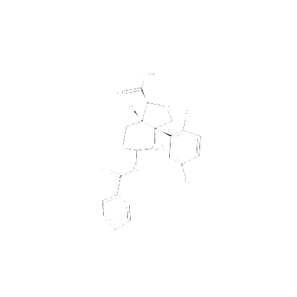 O=C(NC1N[C@@]2(c3cc(Br)ccc3F)CO[C@H](C(=O)O)[C@H]2CS1)c1ccccc1